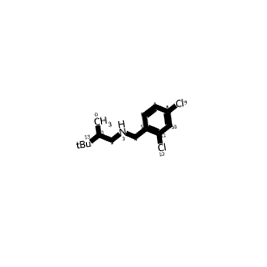 C[C](CNCc1ccc(Cl)cc1Cl)C(C)(C)C